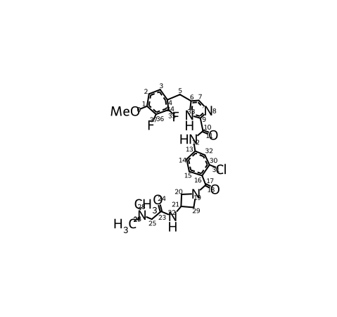 COc1ccc(Cc2cnc(C(=O)Nc3ccc(C(=O)N4CC(NC(=O)CN(C)C)C4)c(Cl)c3)[nH]2)c(F)c1F